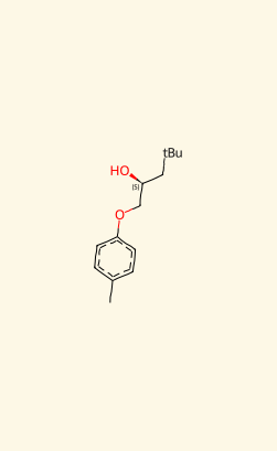 Cc1ccc(OC[C@@H](O)CC(C)(C)C)cc1